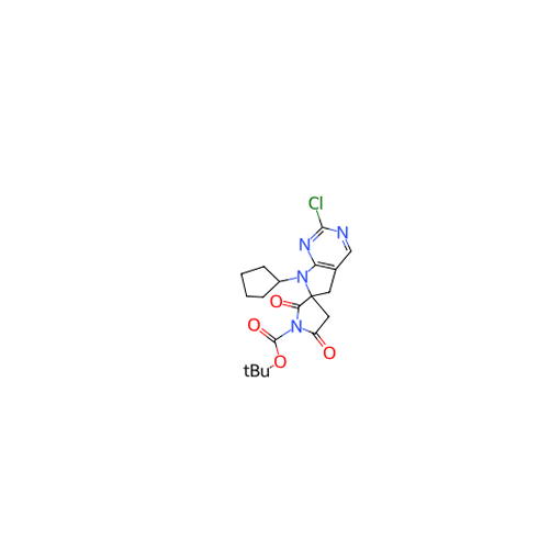 CC(C)(C)OC(=O)N1C(=O)CC2(Cc3cnc(Cl)nc3N2C2CCCC2)C1=O